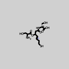 NC(CO)C(=O)OC(/C=C/CCS)CC(=O)N[C@H](CO)C(=O)O